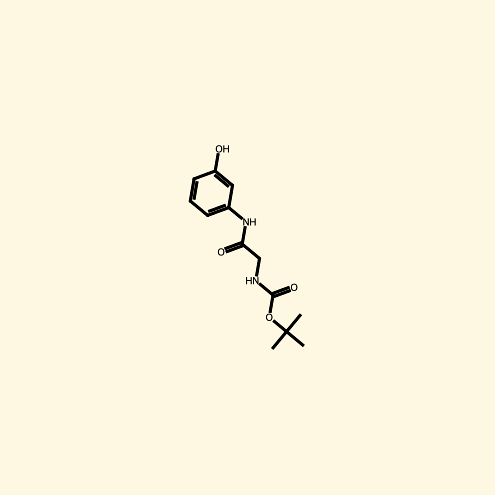 CC(C)(C)OC(=O)NCC(=O)Nc1cccc(O)c1